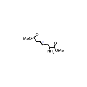 COC(=O)C/C=C/CC(N)C(=O)OC